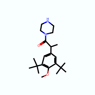 COc1c(C(C)(C)C)cc(C(C)C(=O)N2CCNCC2)cc1C(C)(C)C